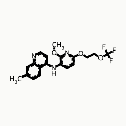 COc1nc(OCCOC(F)(F)F)ccc1Nc1ccnc2cc(C)ccc12